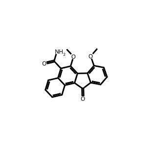 COc1cccc2c1-c1c(OC)c(C(N)=O)c3ccccc3c1C2=O